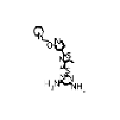 Cc1sc(-c2ccnc(OCCN3CCCCC3)c2)nc1[C@H](C)Sc1nc(N)cc(N)n1